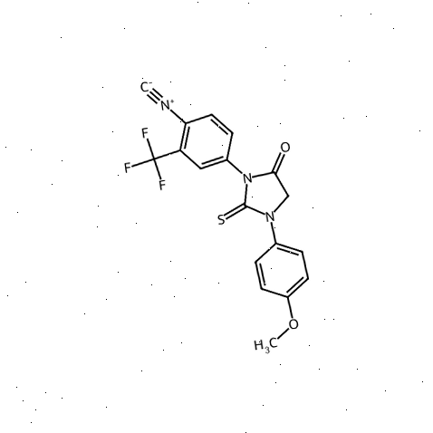 [C-]#[N+]c1ccc(N2C(=O)CN(c3ccc(OC)cc3)C2=S)cc1C(F)(F)F